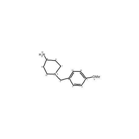 COc1ccc(CN2CCC(N)CC2)cc1